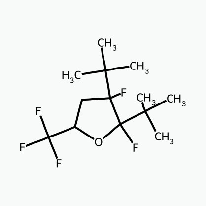 CC(C)(C)C1(F)CC(C(F)(F)F)OC1(F)C(C)(C)C